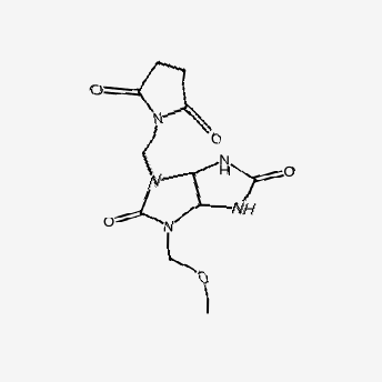 COCN1C(=O)N(CN2C(=O)CCC2=O)C2NC(=O)NC21